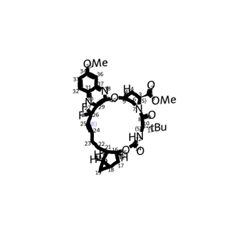 COC(=O)[C@@H]1C[C@@H]2CN1C(=O)[C@H](C(C)(C)C)NC(=O)O[C@@H]1CC3C[C@@H]3[C@H]1CC/C=C/C(F)(F)c1nc3ccc(OC)cc3nc1O2